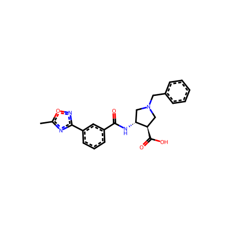 Cc1nc(-c2cccc(C(=O)N[C@@H]3CN(Cc4ccccc4)C[C@H]3C(=O)O)c2)no1